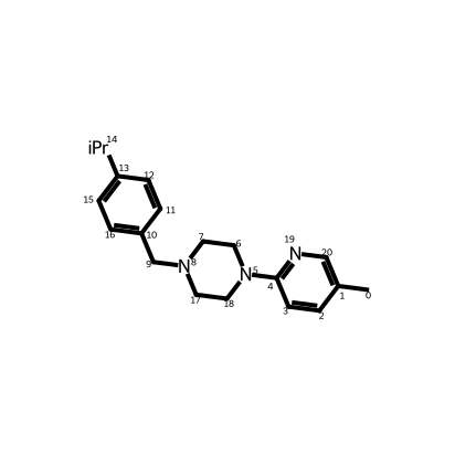 Cc1ccc(N2CCN(Cc3ccc(C(C)C)cc3)CC2)nc1